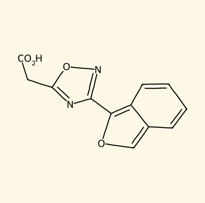 O=C(O)Cc1nc(-c2occ3ccccc23)no1